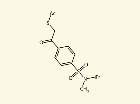 CC(=O)SCC(=O)c1ccc(S(=O)(=O)N(C)C(C)C)cc1